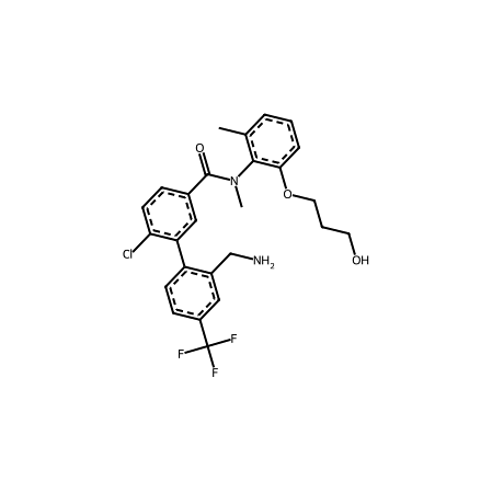 Cc1cccc(OCCCO)c1N(C)C(=O)c1ccc(Cl)c(-c2ccc(C(F)(F)F)cc2CN)c1